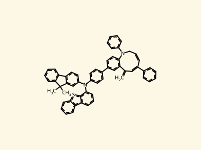 C=C1/C=C(c2ccccc2)\C=C/CN(c2ccccc2)c2ccc(-c3ccc(N(c4ccc5c(c4)C(C)(C)c4ccccc4-5)c4cccc5c4sc4ccccc45)cc3)cc21